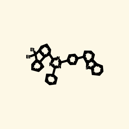 CCC1(CC)c2ccccc2-c2c(-c3nc(-c4ccccc4)nc(-c4ccc(-c5cccc6c5sc5ccccc56)cc4)n3)cccc21